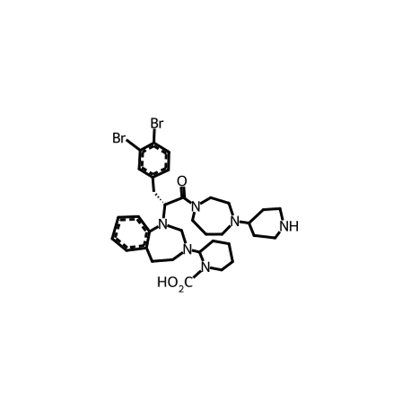 O=C([C@@H](Cc1ccc(Br)c(Br)c1)N1CN(C2CCCCN2C(=O)O)CCc2ccccc21)N1CCCN(C2CCNCC2)CC1